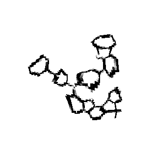 CC1(C)c2ccccc2-c2c1ccc1c2sc2c(N(c3ccc(-c4ccccc4)cc3)c3ccc(-c4cccc5c4oc4ccccc45)cc3)cccc21